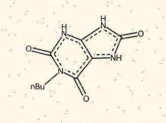 CCCCn1c(=O)[nH]c2[nH]c(=O)[nH]c2c1=O